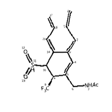 C=C/C=C1/C=C(CNC(C)=O)[C@@H](C(F)(F)F)C([SH](=O)=O)/C1=C/C=C